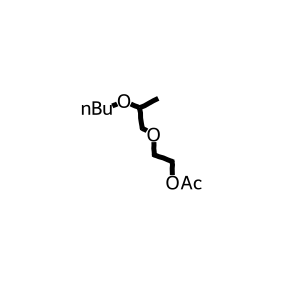 CCCCOC(C)COCCOC(C)=O